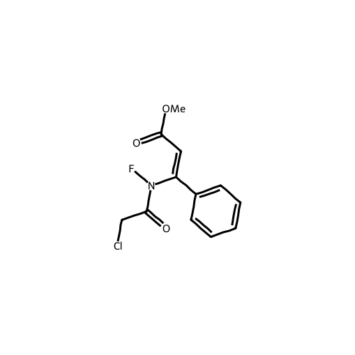 COC(=O)C=C(c1ccccc1)N(F)C(=O)CCl